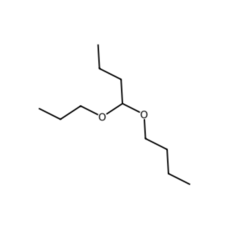 CCCCOC(CCC)OCCC